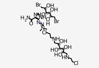 CN(C)/N=N/c1[nH]cnc1C(N)=O.O[C@@H]([C@H](O)[C@H](O)CBr)[C@H](O)CBr.O[C@@H]([C@H](O)[C@H](O)CNCCCl)[C@H](O)CNCCCl